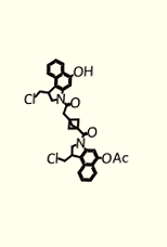 CC(=O)Oc1cc2c(c3ccccc13)C(CCl)CN2C(=O)C12CC(CC(=O)N3CC(CCl)c4c3cc(O)c3ccccc43)(C1)C2